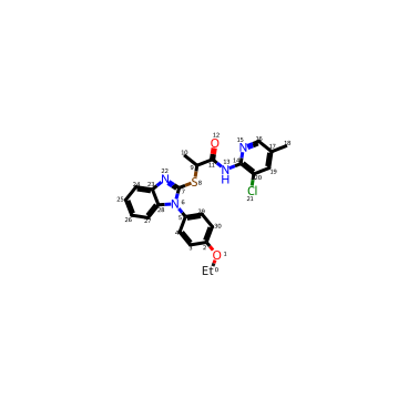 CCOc1ccc(-n2c(SC(C)C(=O)Nc3ncc(C)cc3Cl)nc3ccccc32)cc1